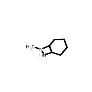 CN1NC2CCCCC21